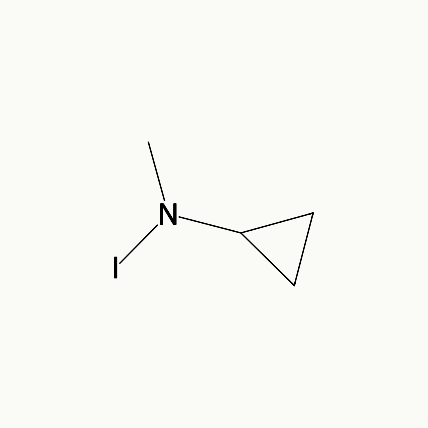 CN(I)C1CC1